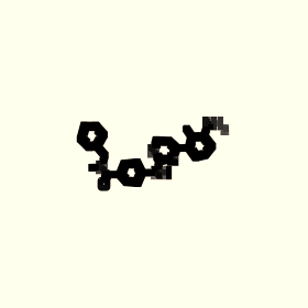 Cc1c(N)cccc1-c1ccnc(Nc2ccc(C(=O)N(C)Cc3ccccc3)cc2)n1